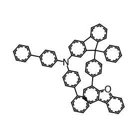 c1ccc(-c2ccc(N(c3ccc(-c4ccccc4)cc3)c3ccc4c(c3)C(c3ccccc3)(c3ccc(-c5cccc6c5oc5ccccc56)cc3)c3ccccc3-4)cc2)cc1